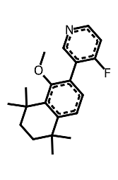 COc1c(-c2cnccc2F)ccc2c1C(C)(C)CCC2(C)C